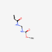 C=CC(=O)NCNC(=O)OC(C)(C)C